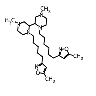 Cc1cc(CCCCCCN2CCN(C)CC2C2CN(C)CCN2CCCCCc2cc(C)on2)no1